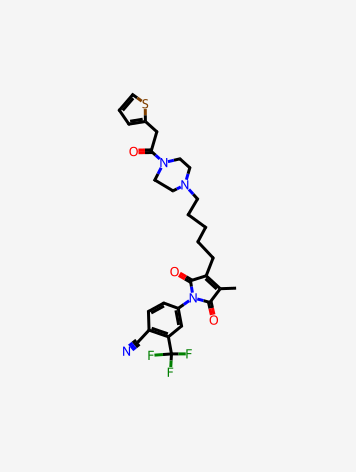 CC1=C(CCCCCN2CCN(C(=O)Cc3cccs3)CC2)C(=O)N(c2ccc(C#N)c(C(F)(F)F)c2)C1=O